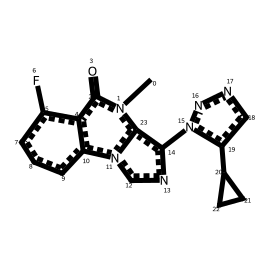 Cn1c(=O)c2c(F)cccc2n2cnc(-n3nncc3C3CC3)c12